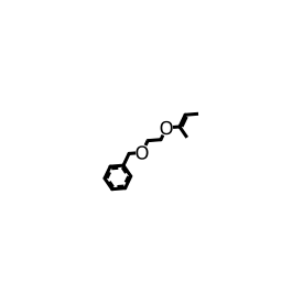 C/C=C(\C)OCCOCc1ccccc1